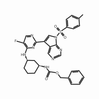 Cc1ccc(S(=O)(=O)n2cc(-c3ncc(F)c(N[C@@H]4CCC[C@H](NC(=O)OCc5ccccc5)C4)n3)c3cncnc32)cc1